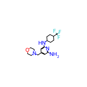 Nc1cc(CN2CCOCC2)cc(NC2CCC(C(F)(F)F)CC2)n1